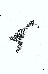 C=C(C=C1c2ccccc2-c2ccccc21)/N=C/c1cc(CCOC(=O)c2ccc(CCC)cc2)ccc1OC(=O)c1ccc(OCCCCCCOCC2(CC)COC2)c(OC)c1